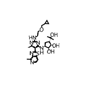 Cc1nc(NCCOCC2CC2)nc(N[C@@H]2C[C@H](C(C)(C)O)[C@@H](O)[C@H]2O)c1-c1nc2c(C)nccc2s1